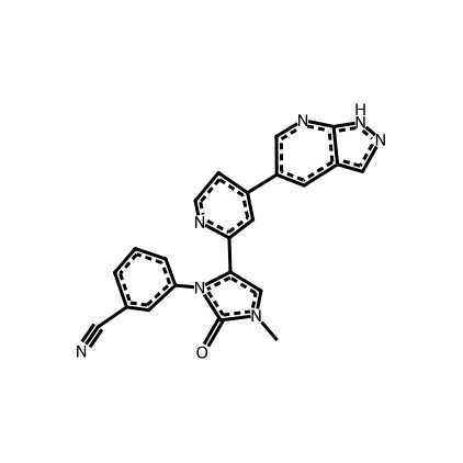 Cn1cc(-c2cc(-c3cnc4[nH]ncc4c3)ccn2)n(-c2cccc(C#N)c2)c1=O